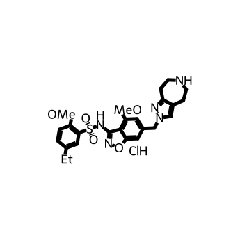 CCc1ccc(OC)c(S(=O)(=O)Nc2noc3cc(Cn4cc5c(n4)CCNCC5)cc(OC)c23)c1.Cl